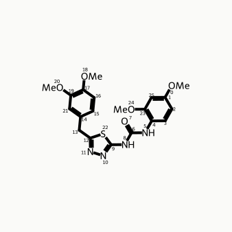 COc1ccc(NC(=O)Nc2nnc(Cc3ccc(OC)c(OC)c3)s2)c(OC)c1